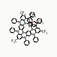 FC(F)(F)c1cc2c3c(c1)N(c1ccccc1)c1cc4c(cc1B3c1cc3c(cc1N2c1ccccc1)N(c1ccccc1)c1cc(C(F)(F)F)cc2c1B3c1sc3ccc(C(F)(F)F)cc3c1N2c1ccccc1)B1c2sc3ccc(C(F)(F)F)cc3c2N(c2ccccc2)c2cc(C(F)(F)F)cc(c21)N4c1ccccc1